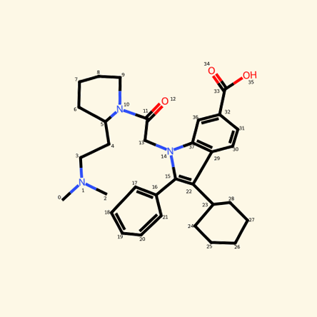 CN(C)CCC1CCCCN1C(=O)Cn1c(-c2ccccc2)c(C2CCCCC2)c2ccc(C(=O)O)cc21